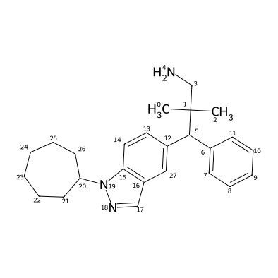 CC(C)(CN)C(c1ccccc1)c1ccc2c(cnn2C2CCCCCC2)c1